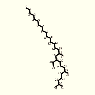 CCCCCCCCCCCCCCCCC(C)CC(CC)CCCC(C)CCCC(C)C